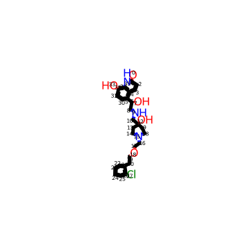 O=c1ccc2c([C@@H](O)CNCC3(O)CCN(CCOCCc4ccccc4Cl)CC3)ccc(O)c2[nH]1